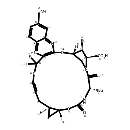 CC[C@@H]1[C@@H]2CN(C(=O)[C@H](C(C)(C)C)NC(=O)O[C@@H]3C[C@H]3CC=CCC(F)(F)c3nc4ccc(OC)cc4nc3O2)[C@@H]1C(=O)O